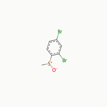 C[S+]([O-])c1ccc(Br)cc1Br